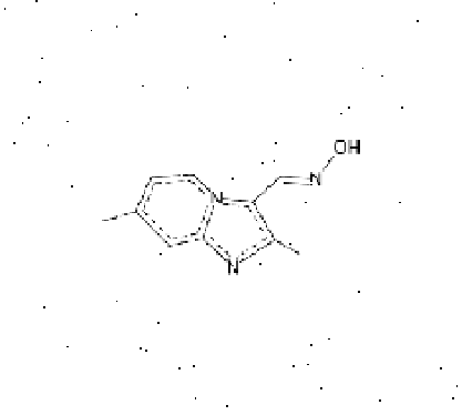 Cc1ccn2c(C=NO)c(C)nc2c1